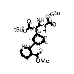 COC(=O)c1cccnc1-c1cccc(N(C(=N)NC(=O)OC(C)(C)C)C(=O)OC(C)(C)C)c1